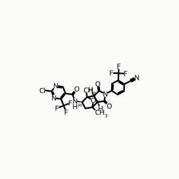 CC12C[C@@H](NC(=O)c3cnc(Cl)nc3C(F)(F)F)C(C)(O1)[C@@H]1C(=O)N(c3ccc(C#N)c(C(F)(F)F)c3)C(=O)[C@@H]12